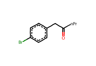 CCCC(=O)Cc1ccc(Br)cc1